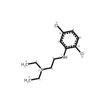 CCN(CC)CCNc1cc(Cl)ccc1Cl